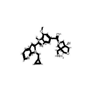 COc1cc(C(=O)N2C[C@H]3COCC3(CN)C2)cc2nc(-c3cc4cccnc4n3CC3CC3)n(C)c12